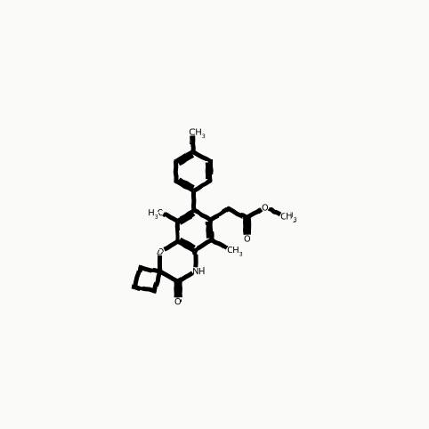 COC(=O)Cc1c(C)c2c(c(C)c1-c1ccc(C)cc1)OC1(CCC1)C(=O)N2